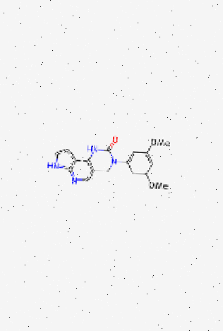 COC1=CC(OC)CC(N2Cc3cnc4[nH]ccc4c3NC2=O)=C1